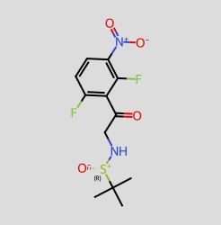 CC(C)(C)[S@+]([O-])NCC(=O)c1c(F)ccc([N+](=O)[O-])c1F